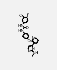 CNc1nccc(-c2cccnc2Oc2ccc(NC(=O)Nc3ccc(F)c(Cl)c3)cc2)n1